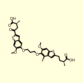 COc1cc2sc(C(=O)C[C@H](C)C(=O)O)cc2cc1OCCCOc1c(OC)cc2sc(CC[C@H](C)C(=O)O)cc2c1F